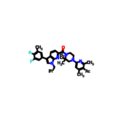 CC(=O)c1c(C)cc(N2CCN(C(=O)c3ccc4c(-c5cc(C)c(F)c(F)c5)cn(CC(C)C)c4n3)C(C)(C)C2)nc1C